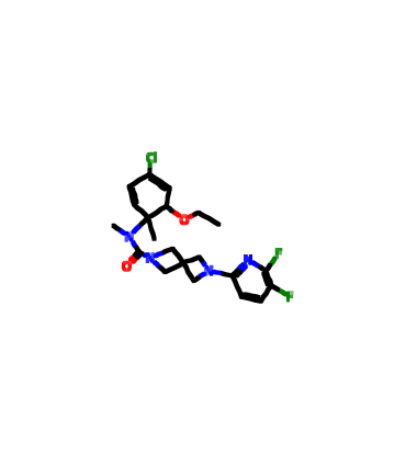 CCOC1C=C(Cl)C=CC1(C)N(C)C(=O)N1CC2(C1)CN(c1ccc(F)c(F)n1)C2